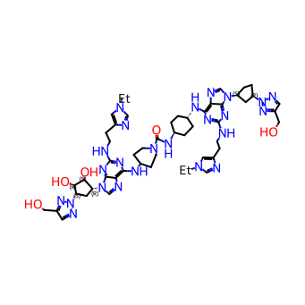 CCn1cnc(CCNc2nc(N[C@H]3CC[C@H](NC(=O)N4CCC(Nc5nc(NCCc6cn(CC)cn6)nc6c5ncn6[C@@H]5C[C@H](n6ncc(CO)n6)[C@@H](O)[C@H]5O)CC4)CC3)c3ncn([C@H]4CC[C@@H](n5ncc(CO)n5)C4)c3n2)c1